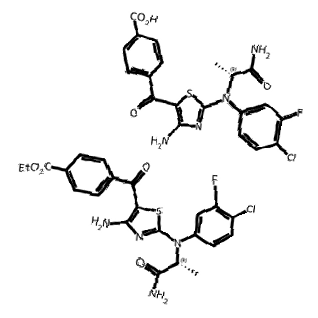 CCOC(=O)c1ccc(C(=O)c2sc(N(c3ccc(Cl)c(F)c3)[C@H](C)C(N)=O)nc2N)cc1.C[C@H](C(N)=O)N(c1ccc(Cl)c(F)c1)c1nc(N)c(C(=O)c2ccc(C(=O)O)cc2)s1